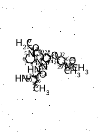 C=CC(=O)N1CCCC[C@@H](n2c(NC(=O)C(/C=C/C)=C/C=N)nc3cc(O[C@H]4CC[C@H](N(C)C(C)=O)CC4)cc(Cl)c32)C1